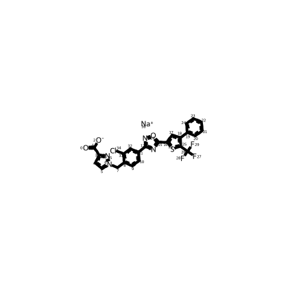 O=C([O-])c1ccn(Cc2ccc(-c3noc(-c4cc(-c5ccccc5)c(C(F)(F)F)s4)n3)cc2Cl)n1.[Na+]